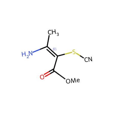 COC(=O)/C(SC#N)=C(/C)N